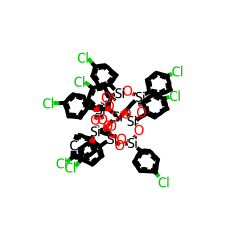 Clc1ccc([Si]23O[Si]4(c5ccc(Cl)cc5)O[Si]5(c6ccc(Cl)cc6)O[Si](c6ccc(Cl)cc6)(O2)O[Si]2(c6ccc(Cl)cc6)O[Si](c6ccc(Cl)cc6)(O3)O[Si](c3ccc(Cl)cc3)(O4)O[Si](c3ccc(Cl)cc3)(O5)O2)cc1